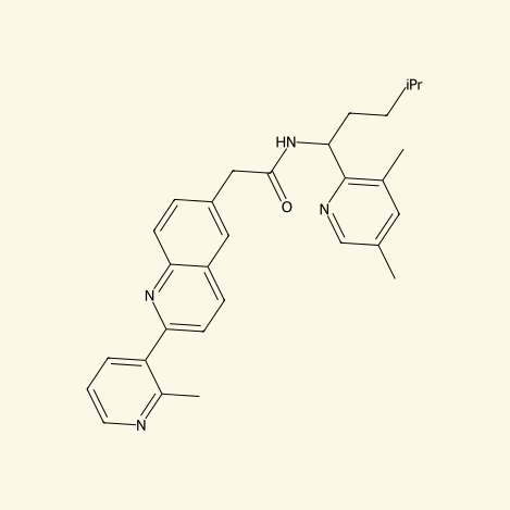 Cc1cnc(C(CCC(C)C)NC(=O)Cc2ccc3nc(-c4cccnc4C)ccc3c2)c(C)c1